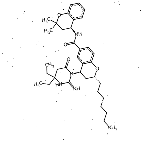 CCC1(CC)CC(=O)N([C@@H]2C[C@@H](CCCCCCN)Oc3ccc(C(=O)N[C@H]4CC(C)(C)Oc5ccccc54)cc32)C(=N)N1